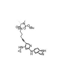 C[C@@H](C(=O)NCCCC#Cc1cnc(Nc2ccc3[nH]ncc3c2)nc1NC1CC1)N(C)C(=O)OC(C)(C)C